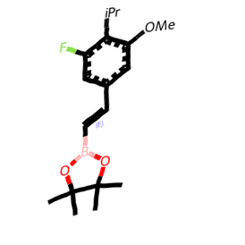 COc1cc(/C=C/B2OC(C)(C)C(C)(C)O2)cc(F)c1C(C)C